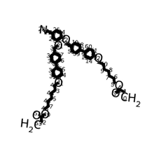 C=CC(=O)OCCCCCCCOc1ccc(-c2ccc(COc3ccc(C#N)cc3OCc3ccc(-c4ccc(OCCCCCCCOC(=O)C=C)cc4)cc3)cc2)cc1